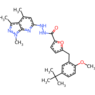 COc1ccc(C(C)(C)C)cc1Cc1ccc(C(=O)NNc2cc(C)c3c(C)nn(C)c3n2)o1